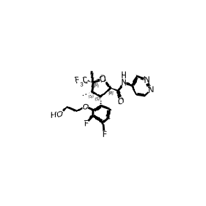 C[C@H]1[C@@H](c2ccc(F)c(F)c2OCCO)[C@H](C(=O)Nc2ccnnc2)O[C@@]1(C)C(F)(F)F